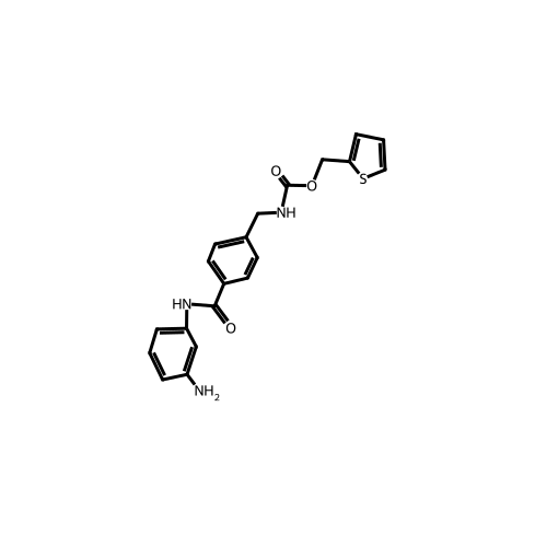 Nc1cccc(NC(=O)c2ccc(CNC(=O)OCc3cccs3)cc2)c1